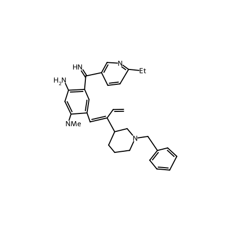 C=C/C(=C\c1cc(C(=N)c2ccc(CC)nc2)c(N)cc1NC)C1CCCN(Cc2ccccc2)C1